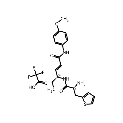 CC[C@@H](C=CC(=O)Nc1ccc(OC)cc1)NC(=O)[C@@H](N)Cc1cccs1.O=C(O)C(F)(F)F